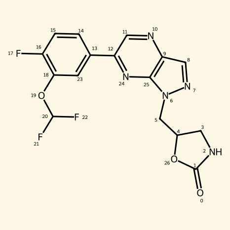 O=C1NCC(Cn2ncc3ncc(-c4ccc(F)c(OC(F)F)c4)nc32)O1